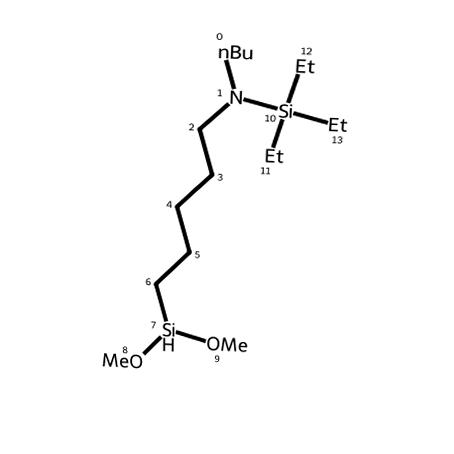 CCCCN(CCCCC[SiH](OC)OC)[Si](CC)(CC)CC